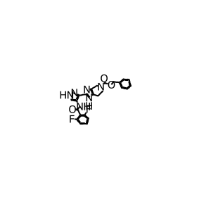 O=C(Nc1c[nH]nc1-c1nc2c([nH]1)CCN(C(=O)OCc1ccccc1)C2)c1c(F)cccc1F